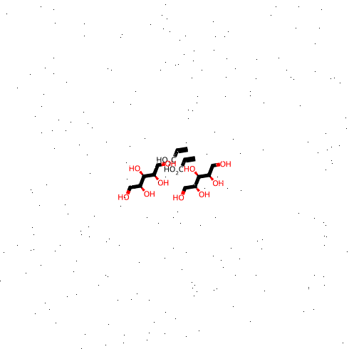 C=CC(=O)O.C=CC(=O)O.OC[C@@H](O)[C@H](O)[C@@H](O)CO.OC[C@@H](O)[C@H](O)[C@@H](O)CO